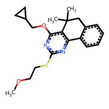 COCCSc1nc(OCC2CC2)c2c(n1)-c1ccccc1CC2(C)C